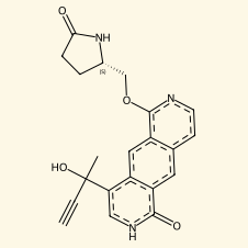 C#CC(C)(O)c1c[nH]c(=O)c2cc3ccnc(OC[C@@H]4CCC(=O)N4)c3cc12